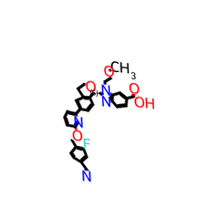 COCCn1c([C@H]2OCCc3cc(-c4cccc(OCc5ccc(C#N)cc5F)n4)ccc32)nc2ccc(C(=O)O)cc21